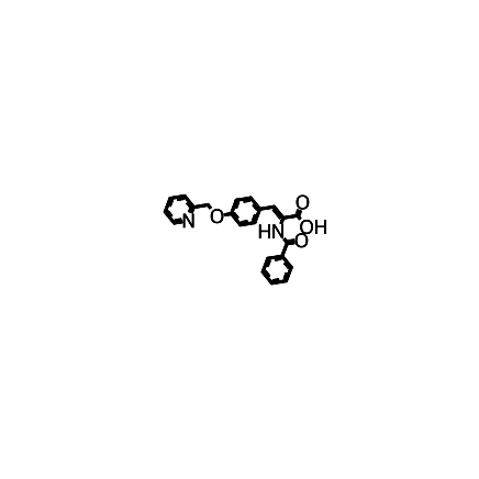 O=C(O)C(=Cc1ccc(OCc2ccccn2)cc1)NC(=O)c1ccccc1